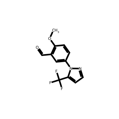 COc1ccc(-n2nccc2C(F)(F)F)cc1C=O